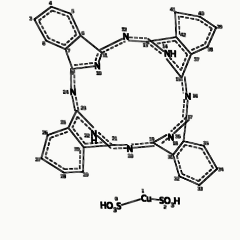 O=[S](=O)(O)[Cu][S](=O)(=O)O.c1ccc2c(c1)-c1nc-2nc2[nH]c(nc3nc(nc4[nH]c(n1)c1ccccc41)-c1ccccc1-3)c1ccccc21